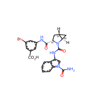 NC(=O)n1cc(NC(=O)N2[C@@H]3C[C@H]3C[C@H]2C(=O)Nc2cc(Br)cc(C(=O)O)c2)c2ccccc21